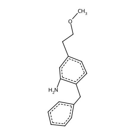 COCCc1ccc(Cc2ccccc2)c(N)c1